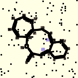 C=C1/C=c2/cccn/c2=C/CC2=C(C=C=CC=N2)O1